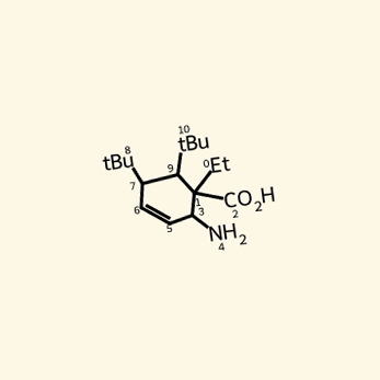 CCC1(C(=O)O)C(N)C=CC(C(C)(C)C)C1C(C)(C)C